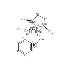 C[C@@H](c1ccccc1)N1[C@@H]2CC[C@@H]([C@H]2Br)[C@@H]1CO